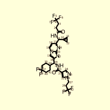 O=C(CCC(F)(F)F)N[C@@H](C1=CC1)c1ccn2cc([C@@H](NC(=O)c3cnn(CCC(F)(F)F)c3)C3CCC(F)(F)CC3)nc2n1